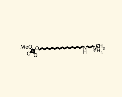 COc1c(OCCCCCCCCCCCCCCCCCCNCCCN(C)C)c(=O)c1=O